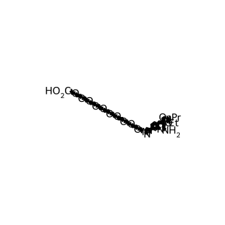 CCCN(OCC)C(=O)C1=Cc2ccc(-c3cnn(CCOCCOCCOCCOCCOCCOCCOCCOCCOCCOCCC(=O)O)c3)cc2N=C(N)C1